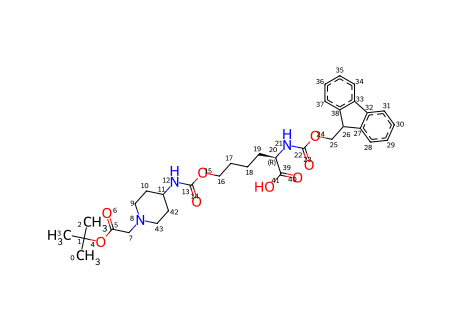 CC(C)(C)OC(=O)CN1CCC(NC(=O)OCCCC[C@@H](NC(=O)OCC2c3ccccc3-c3ccccc32)C(=O)O)CC1